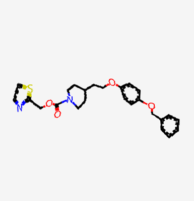 O=C(OCc1nccs1)N1CCC(CCOc2ccc(OCc3ccccc3)cc2)CC1